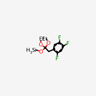 CCOC(Cc1cc(F)c(F)cc1F)(O[SiH3])OCC